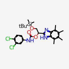 Cc1c(C)c(C)c2[nH]c(C(CO[Si](C)(C)C(C)(C)C)OC(=O)Nc3ccc(Cl)c(Cl)c3)nc2c1C